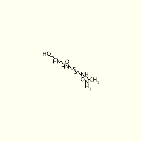 CC(N)CC(=O)NCCSSCCNC(=O)CCNCCCCO